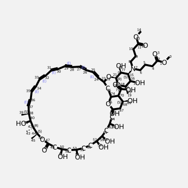 COC(=O)CCCN(CCCC(=O)OC)[C@H]1C(O)[C@@H](C)O[C@@H](OC2/C=C/C=C/C=C/C=C/C=C/C=C/C=C/[C@H](C)C(O)[C@@H](C)[C@H](C)OC(=O)CC(O)CC(O)CCC(O)C(O)CC(O)CC3(O)C[C@H](O)C(C(=O)O)C(C2)O3)[C@H]1O